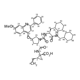 C=C[C@@H]1C[C@]1(NC(=O)[C@@H]1C[C@@H](Oc2cc(-c3ccccc3)nc3cc(OC)ccc23)CN1C(=O)N[C@@H](CC1CCCCC1)C(=O)NCC1CCCCC1)C(=O)O